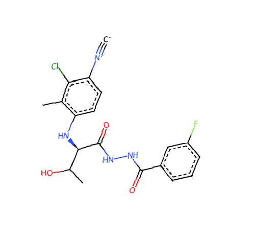 [C-]#[N+]c1ccc(N[C@@H](C(=O)NNC(=O)c2cccc(F)c2)C(C)O)c(C)c1Cl